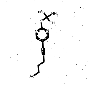 CCCC(C)(N)Sc1ncc(C#CCCCC(C)=O)cn1